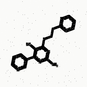 N#Cc1c(SCCc2ccccn2)nc(N)nc1-c1cccnc1